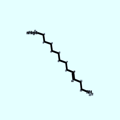 CCCCCCCCCCCCCCCC=CCCN